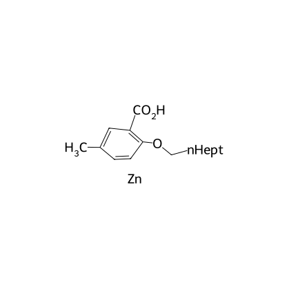 CCCCCCCCOc1ccc(C)cc1C(=O)O.[Zn]